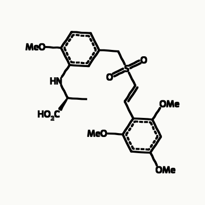 COc1cc(OC)c(/C=C/S(=O)(=O)Cc2ccc(OC)c(N[C@@H](C)C(=O)O)c2)c(OC)c1